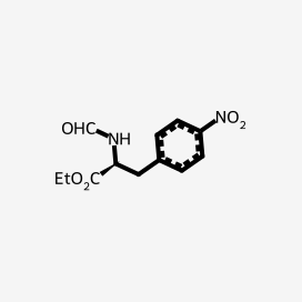 CCOC(=O)[C@H](Cc1ccc([N+](=O)[O-])cc1)NC=O